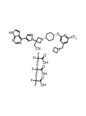 N#CCC1(n2cc(-c3ncnc4[nH]ccc34)cn2)CN([C@H]2CC[C@@H](Oc3cc(CN4CCC4)cc(C(F)(F)F)n3)CC2)C1.O=C(O)C(F)(F)F.O=C(O)C(F)(F)F.O=C(O)C(F)(F)F